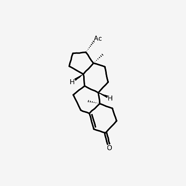 CC(=O)[C@H]1CC[C@H]2C3CCC4=CC(=O)CC[C@]4(C)[C@H]3CC[C@]12C